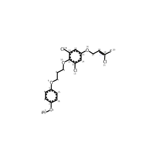 CC(C)Oc1ccc(OCCCOc2c(Cl)cc(OC/C=C(/F)Cl)cc2Cl)cc1